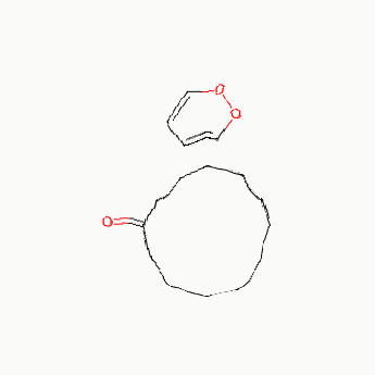 C1=COOC=C1.O=C1CCCCCCCCCCC1